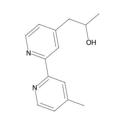 Cc1ccnc(-c2cc(CC(C)O)ccn2)c1